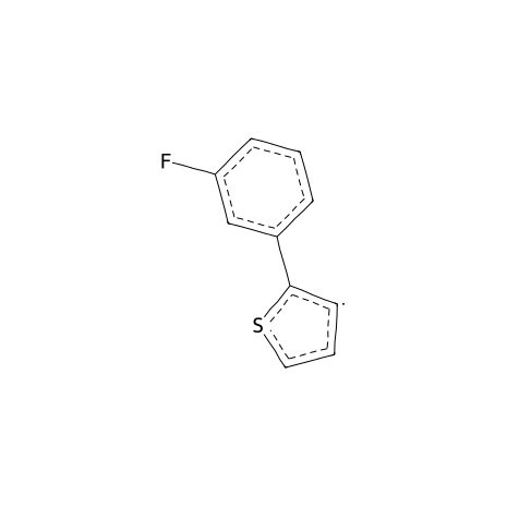 Fc1cccc(-c2[c]ccs2)c1